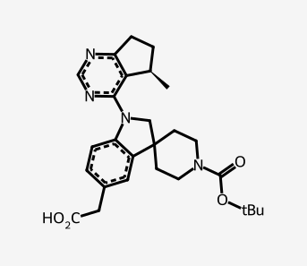 C[C@@H]1CCc2ncnc(N3CC4(CCN(C(=O)OC(C)(C)C)CC4)c4cc(CC(=O)O)ccc43)c21